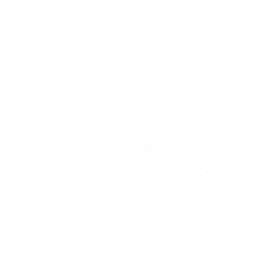 CC(Cc1cccc(F)c1)C(=O)Oc1ccccc1Cl